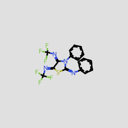 FC(F)(F)/N=C1\S/C(=N/c2ccccc2)N(c2ccccc2)\C1=N\C(F)(F)F